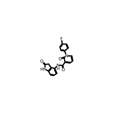 O=C1Cc2c(cccc2NC(=O)c2cccn(-c3ccc(F)cc3)c2=O)N1